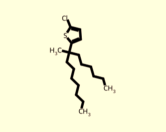 CCCCCCCC(C)(CCCCCC)c1ccc(Cl)s1